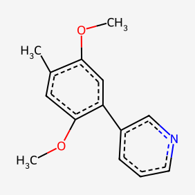 COc1cc(-c2cccnc2)c(OC)cc1C